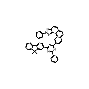 CC1(C)c2ccccc2-c2ccc(-c3nc(-c4ccccc4)nc(-c4ccc5ccc6ccc7nn(-c8ccccc8)nc7c6c5c4)n3)cc21